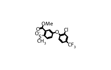 COC(=O)c1cc(Oc2ccc(C(F)(F)F)cc2Cl)ccc1[S+](C)[O-]